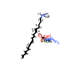 CCCCCCCCCCCCCCCC[N+](C)(C)C.Cl.N.N.O=C([O-])O